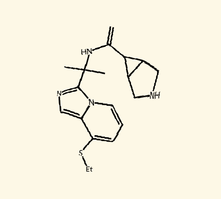 C=C(NC(C)(C)c1ncc2c(SCC)cccn12)C1C2CNCC21